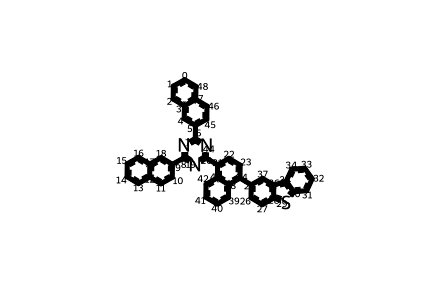 c1ccc2cc(-c3nc(-c4ccc5ccccc5c4)nc(-c4ccc(-c5ccc6sc7ccccc7c6c5)c5ccccc45)n3)ccc2c1